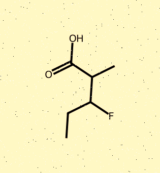 CCC(F)C(C)C(=O)O